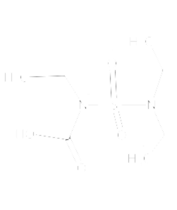 CCN(CC)S(=O)(=O)N(CC)C(=O)O